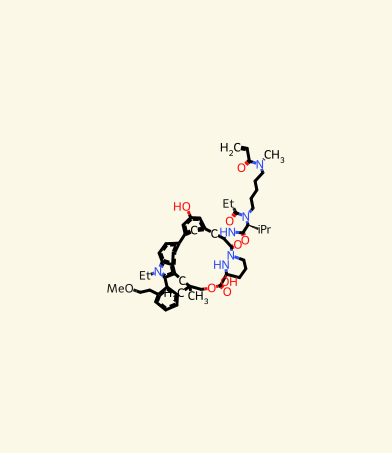 C=CC(=O)N(C)CCCCCN(C(=O)CC)[C@H](C(=O)N[C@H]1Cc2cc(O)cc(c2)-c2ccc3c(c2)c(c(-c2ccccc2CCOC)n3CC)CC(C)(C)COC(=O)[C@@]2(O)CCCN(N2)C1=O)C(C)C